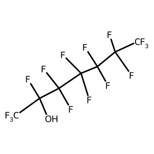 OC(F)(C(F)(F)F)C(F)(F)C(F)(F)C(F)(F)C(F)(F)C(F)(F)F